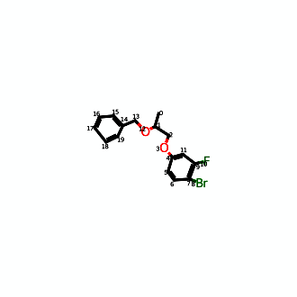 CC(COc1ccc(Br)c(F)c1)OCc1ccccc1